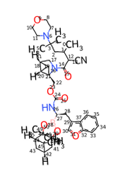 CC(CC(C)(C)N1CCOCC1)C(C#N)C(=O)N1C[C@@H]2C3[C@@H]2[C@]31COC(=O)N[C@@H](Cc1coc2ccccc12)B1O[C@@H]2C[C@@H]3C[C@@H](C3(C)C)[C@]2(C)O1